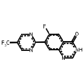 O=c1[nH]cnc2cc(-c3ncc(C(F)(F)F)cn3)c(F)cc12